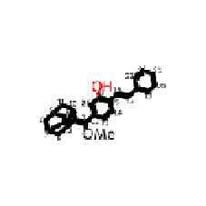 COC(=C1C2CC3CC(C2)CC1C3)c1ccc(/C=C/c2ccccc2)c(O)c1